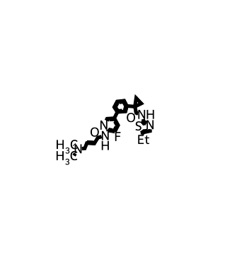 CCc1cnc(NC(=O)C2(c3cccc(-c4cnc(NC(=O)/C=C/CN(C)C)c(F)c4)c3)CC2)s1